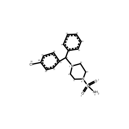 NS(=O)(=O)N1CCN(C(c2ccccc2)c2ccc(Cl)cc2)CC1